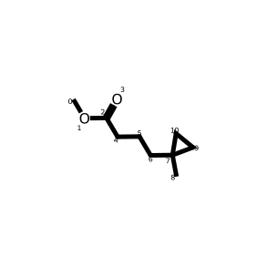 COC(=O)CCCC1(C)CC1